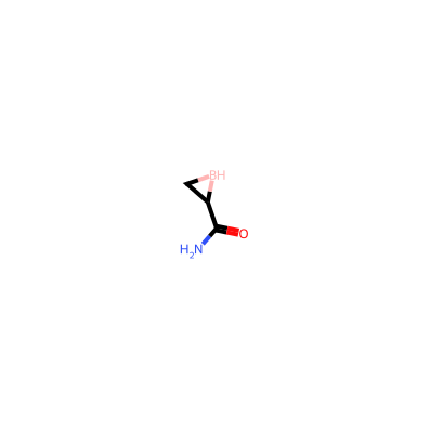 NC(=O)C1BC1